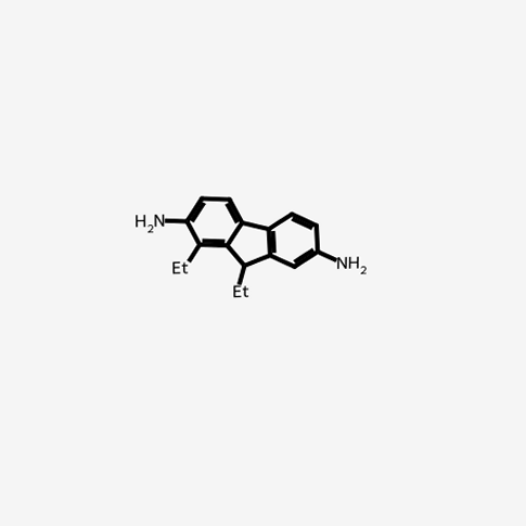 CCc1c(N)ccc2c1C(CC)c1cc(N)ccc1-2